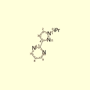 CC(C)n1ccc(-c2ncccn2)n1